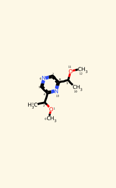 COC(C)c1cncc(C(C)OC)n1